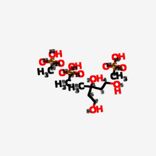 CC(O)(CCO)CCO.CS(=O)(=O)O.CS(=O)(=O)O.CS(=O)(=O)O